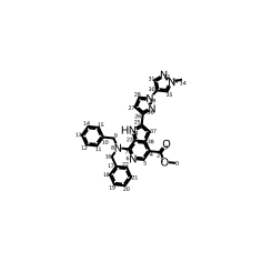 COC(=O)c1cnc(N(Cc2ccccc2)Cc2ccccc2)c2[nH]c(-c3ccn(-c4cnn(C)c4)n3)cc12